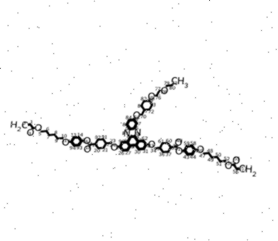 C=CC(=O)OCCCCCCOc1ccc(OC(=O)C2CCC(COc3ccc4c5ccc(OCC6CCC(C(=O)Oc7ccc(OCCCCCCOC(=O)C=C)cc7)CC6)cc5c5nc6cc(OCC7CCC(OCCOCCC)CC7)ccc6nc5c4c3)CC2)cc1